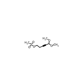 COC(C#CCCOS(C)(=O)=O)OC